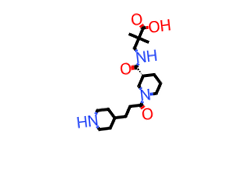 CC(C)(CNC(=O)[C@@H]1CCCN(C(=O)CCC2CCNCC2)C1)C(=O)O